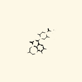 CC1CN(c2nc(=O)n3c4c(c(Br)c(Cl)cc24)OCC(O)C3)C(C)CN1C(=O)OC(C)(C)C